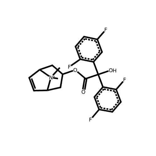 C[N+]1(C)C2C=CC1CC(OC(=O)C(O)(c1cc(F)ccc1F)c1cc(F)ccc1F)C2